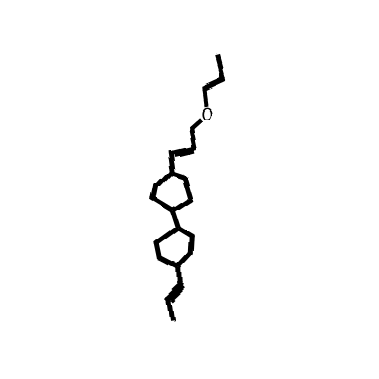 CC=CC1CCC(C2CCC(C=CCOCCC)CC2)CC1